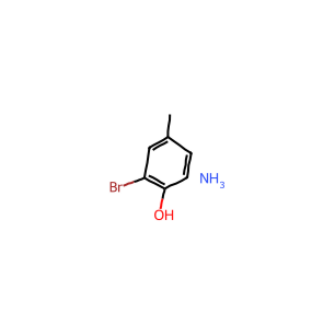 Cc1ccc(O)c(Br)c1.N